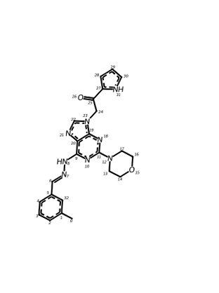 Cc1cccc(C=NNc2nc(N3CCOCC3)nc3c2ncn3CC(=O)c2ccc[nH]2)c1